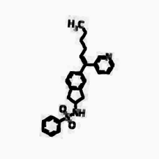 CCCC/C=C(\c1cccnc1)c1ccc2c(c1)CC(NS(=O)(=O)c1ccccc1)C2